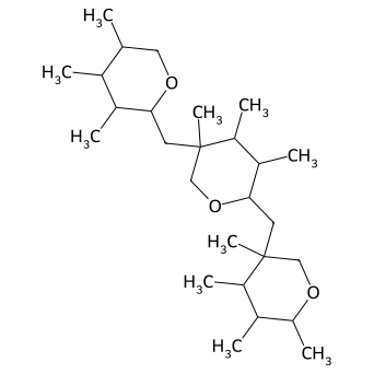 CC1COC(CC2(C)COC(CC3(C)COC(C)C(C)C3C)C(C)C2C)C(C)C1C